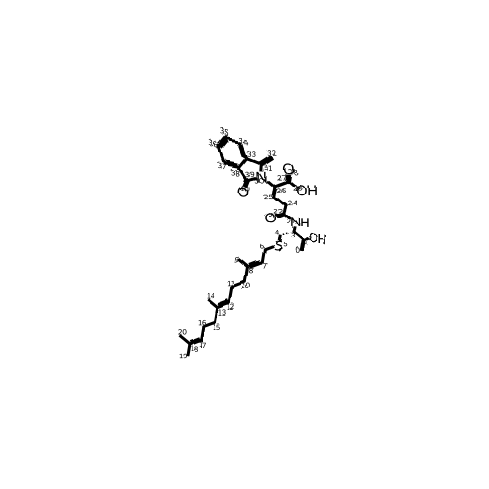 C=C(O)[C@H](CSC/C=C(\C)CC/C=C(\C)CCC=C(C)C)NC(=O)CCC(C(=O)O)N1C(=C)c2ccccc2C1=O